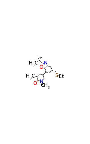 CCSCc1cc(-c2cc(C)c(=O)n(C)c2)c2oc(C3(C)CC3)nc2c1